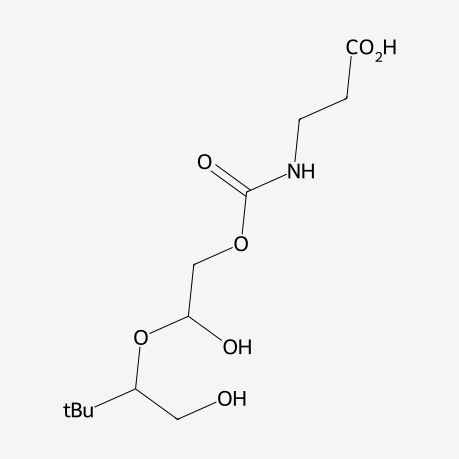 CC(C)(C)C(CO)OC(O)COC(=O)NCCC(=O)O